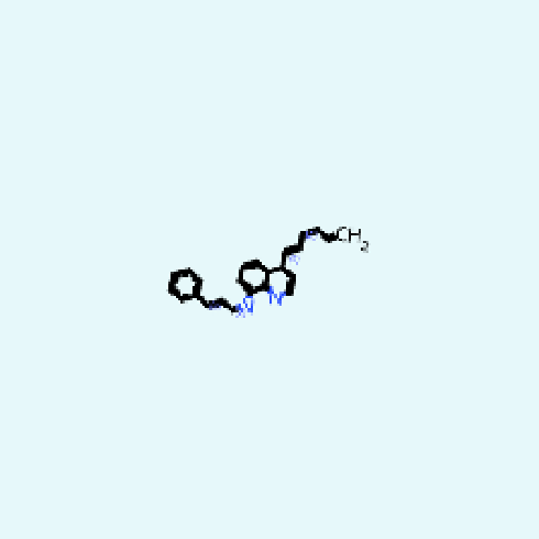 C=C/C=C\C=C\C1C=CN=C2C(/N=C\C=C\c3ccccc3)=CC=CC21